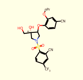 CCCOc1cc(C#N)ccc1OC1CN(S(=O)(=O)c2ccc(C(F)(F)F)cc2C#N)C[C@@]1(O)CO